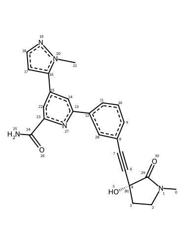 CN1CC[C@@](O)(C#Cc2cccc(-c3cc(-c4ccnn4C)cc(C(N)=O)n3)c2)C1=O